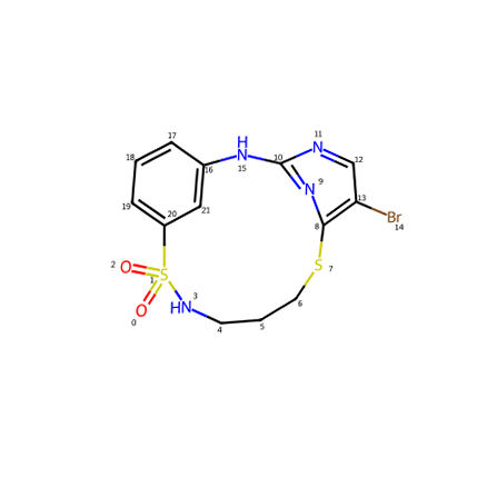 O=S1(=O)NCCCSc2nc(ncc2Br)Nc2cccc1c2